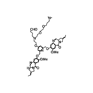 C/C=C1\CC2C=Nc3cc(OCc4cc(OCCN(CCCC=O)CCOCCOCCCN(C)C)cc(COc5cc6c(cc5OC)C(=O)N5C/C(=C/C)C[C@H]5C=N6)n4)c(OC)cc3C(=O)N2C1